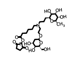 C[C@@H]1O[C@@H](CCCN(CCCCCC(=O)ON2C(=O)CCC2=O)CCO[C@@H]2C[C@@H](O)[C@H](O)[C@@H](CO)O2)[C@@H](O)[C@H](O)[C@@H]1O